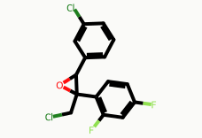 Fc1ccc(C2(CCl)OC2c2cccc(Cl)c2)c(F)c1